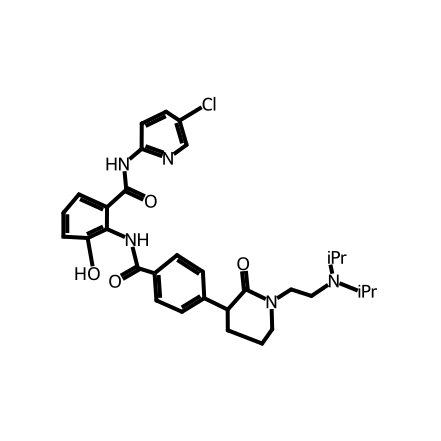 CC(C)N(CCN1CCCC(c2ccc(C(=O)Nc3c(O)cccc3C(=O)Nc3ccc(Cl)cn3)cc2)C1=O)C(C)C